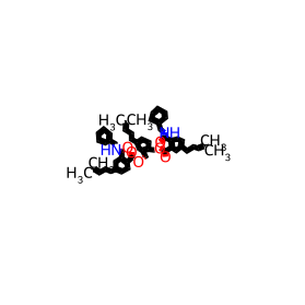 CC(C)=CCCC1=CCC(COC(=O)C2=C(C(=O)NCc3ccccc3)CC=C(CCC=C(C)C)C2)=C(COC(=O)C2=C(C(=O)NCc3ccccc3)CC(CCC=C(C)C)=CC2)C1